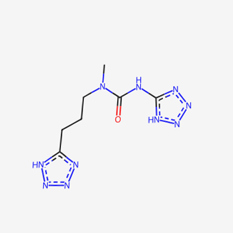 CN(CCCc1nnn[nH]1)C(=O)Nc1nnn[nH]1